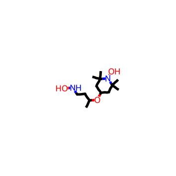 CC(CCNO)OC1CC(C)(C)N(O)C(C)(C)C1